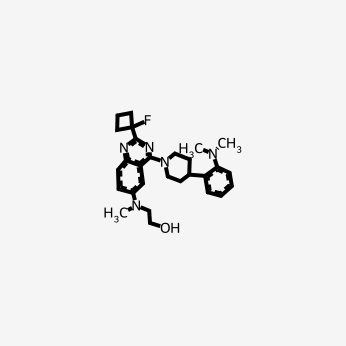 CN(C)c1ccccc1C1CCN(c2nc(C3(F)CCC3)nc3ccc(N(C)CCO)cc23)CC1